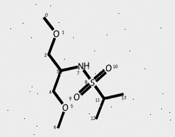 COCC(COC)NS(=O)(=O)C(C)C